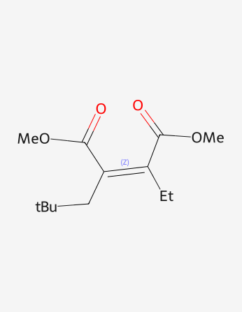 CC/C(C(=O)OC)=C(\CC(C)(C)C)C(=O)OC